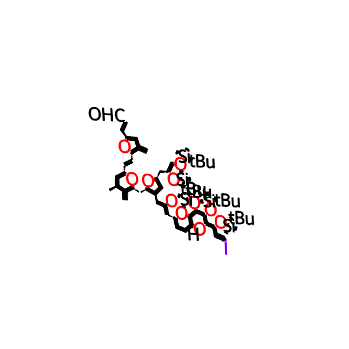 C=C1C[C@H](CCC=O)O[C@H]1CC[C@H]1C[C@H](C)C(=C)[C@@H](C[C@@H]2O[C@H](C[C@@H](CO[Si](C)(C)C(C)(C)C)O[Si](C)(C)C(C)(C)C)C[C@H]2CC(=O)C[C@H]2CC[C@@H]3OC(C(/C=C/I)O[Si](C)(C)C(C)(C)C)C(O[Si](C)(C)C(C)(C)C)C(O[Si](C)(C)C(C)(C)C)C3O2)O1